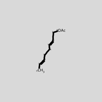 C/C=C/CC/C=C/COC(C)=O